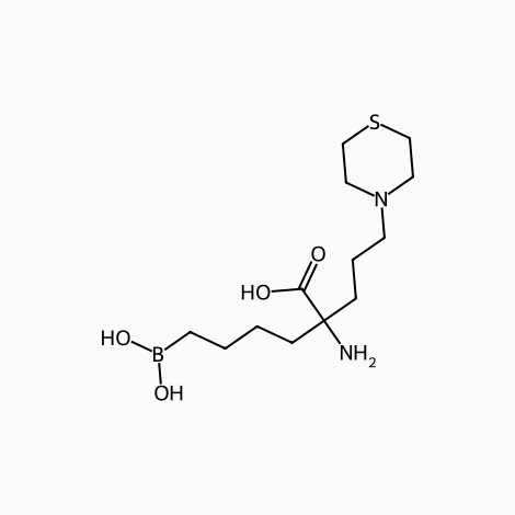 NC(CCCCB(O)O)(CCCN1CCSCC1)C(=O)O